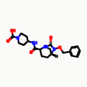 O=C(NC1CCN(C(=O)O)CC1)[C@@H]1CC[C@@H]2CN1C(=O)N2OCc1ccccc1